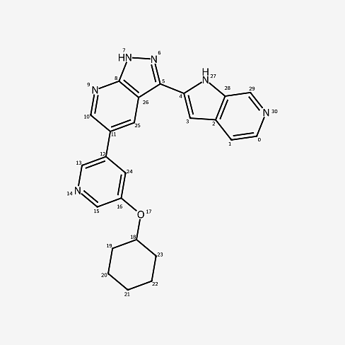 c1cc2cc(-c3n[nH]c4ncc(-c5cncc(OC6CCCCC6)c5)cc34)[nH]c2cn1